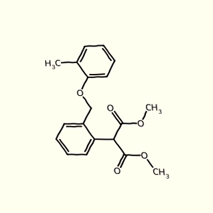 COC(=O)C(C(=O)OC)c1ccccc1COc1ccccc1C